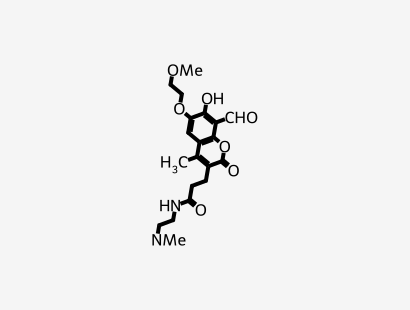 CNCCNC(=O)CCc1c(C)c2cc(OCCOC)c(O)c(C=O)c2oc1=O